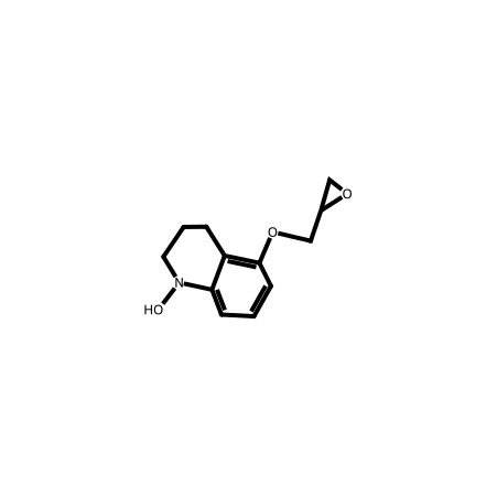 ON1CCCc2c(OCC3CO3)cccc21